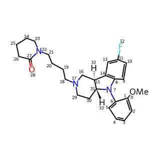 COc1ccccc1N1c2ccc(F)cc2[C@@H]2CN(CCCCN3CCCCC3=O)CC[C@H]21